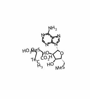 CSCC(=O)O.CSC[C@H]1O[C@@H](n2cnc3c(N)ncnc32)[C@H](O)[C@@H]1O.C[Te]CC(=O)O